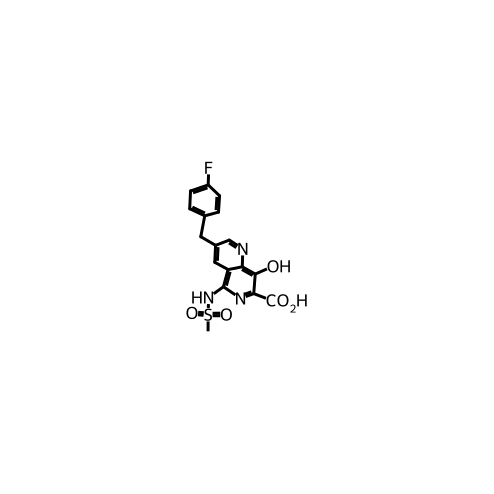 CS(=O)(=O)Nc1nc(C(=O)O)c(O)c2ncc(Cc3ccc(F)cc3)cc12